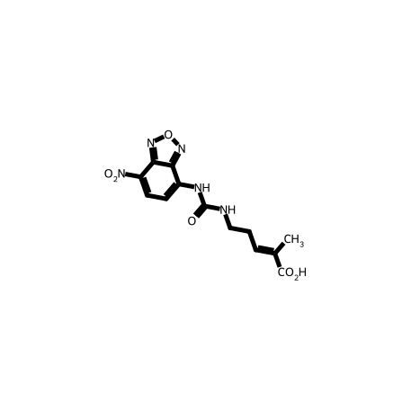 CC(=CCCNC(=O)Nc1ccc([N+](=O)[O-])c2nonc12)C(=O)O